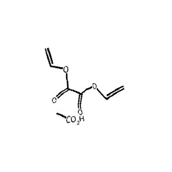 C=COC(=O)C(=O)OC=C.CC(=O)O